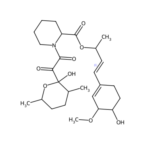 COC1C=C(/C=C/C(C)OC(=O)C2CCCCN2C(=O)C(=O)C2(O)OC(C)CCC2C)CCC1O